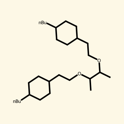 CCCCC1CCC(CCOC(C)C(C)OCCC2CCC(CCCC)CC2)CC1